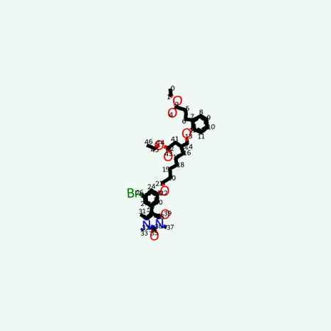 CCOC(=O)CCc1ccccc1OCC(CCCCCCOc1cc(Br)cc(-c2c(C)n(C)c(=O)n(C)c2=O)c1)CC(=O)OCC